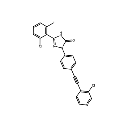 O=c1[nH]c(-c2c(F)cccc2Cl)nn1-c1ccc(C#Cc2ccncc2Cl)cc1